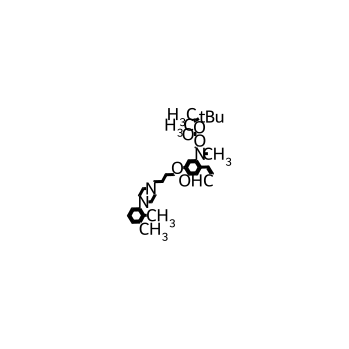 Cc1cccc(N2CCN(CCCCOc3ccc(/C=C\C=O)c(N(C)COC(=O)OC(C)(C)C(C)(C)C)c3)CC2)c1C